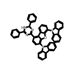 c1ccc(C2=NC(c3ccc(-n4c5ccccc5c5ccccc54)c4oc5c(-n6c7ccccc7c7ccccc76)cccc5c34)=NC(c3ccccc3)N2)cc1